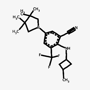 CC1CC(Nc2c(C#N)cc(B3CC(C)(C)C(C)(C)C3)cc2C(F)(F)F)C1